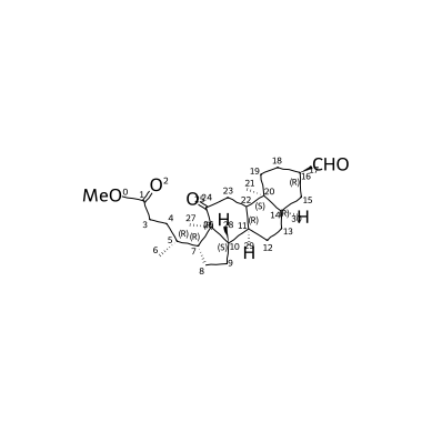 COC(=O)CC[C@@H](C)[C@H]1CC[C@H]2[C@@H]3CC[C@@H]4C[C@H](C=O)CC[C@]4(C)C3CC(=O)[C@]12C